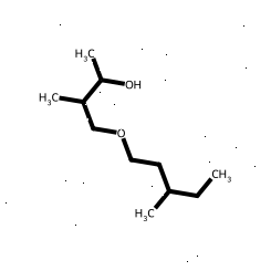 CCC(C)CCOCC(C)C(C)O